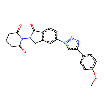 COc1ccc(-c2cn(-c3ccc4c(c3)CN(N3C(=O)CCCC3=O)C4=O)nn2)cc1